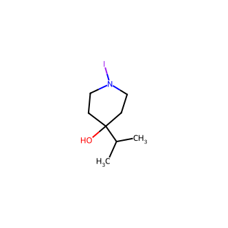 CC(C)C1(O)CCN(I)CC1